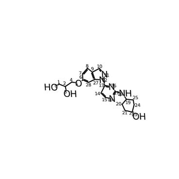 OCC(O)COc1ccc2cnn(-c3ccnc(NC4CCC(O)CC4)n3)c2c1